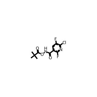 CC(C)(C)C(=O)ONC(=O)c1cc(F)c(Cl)nc1F